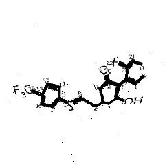 C/C=C(C1=C(O)CC(CCSc2ccc(C(F)(F)F)cc2)CC1=O)\C(F)=C/C